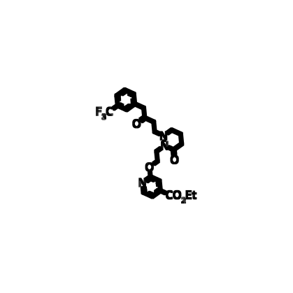 CCOC(=O)c1ccnc(OCCN2C(=O)CCCN2CCC(=O)Cc2cccc(C(F)(F)F)c2)c1